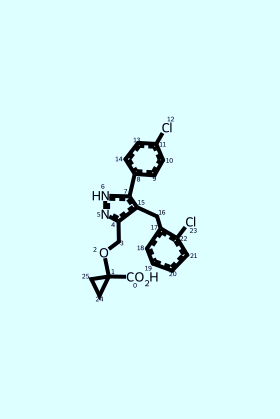 O=C(O)C1(OCc2n[nH]c(-c3ccc(Cl)cc3)c2Cc2ccccc2Cl)CC1